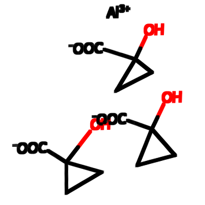 O=C([O-])C1(O)CC1.O=C([O-])C1(O)CC1.O=C([O-])C1(O)CC1.[Al+3]